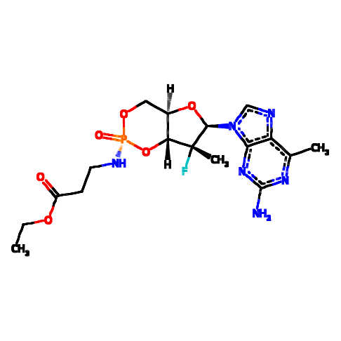 CCOC(=O)CCN[P@]1(=O)OC[C@H]2O[C@@H](n3cnc4c(C)nc(N)nc43)[C@](C)(F)[C@@H]2O1